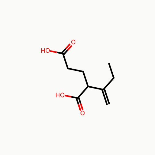 C=C(CC)C(CCC(=O)O)C(=O)O